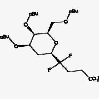 CCCCOC[C@H]1O[C@@H](C(F)(F)CCC(=O)OCC)C[C@@H](OCCCC)[C@H]1OCCCC